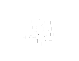 CC(I)NC(C(O)C(C)(C)C)C(C)(C)C